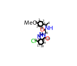 COc1ccc(C(C)NC(=O)Cn2nnc3c(Cl)cccc3c2=O)cc1